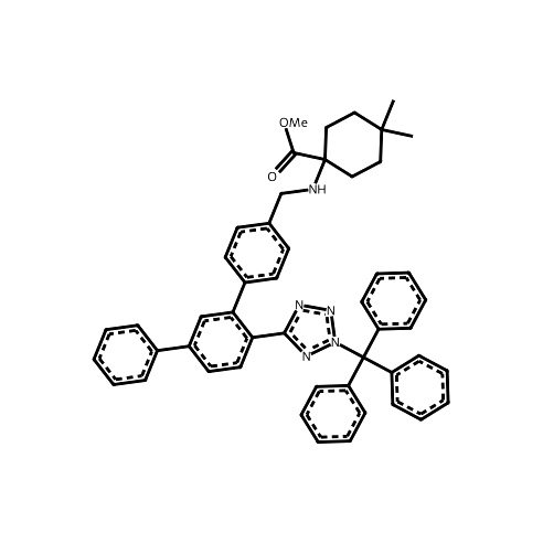 COC(=O)C1(NCc2ccc(-c3cc(-c4ccccc4)ccc3-c3nnn(C(c4ccccc4)(c4ccccc4)c4ccccc4)n3)cc2)CCC(C)(C)CC1